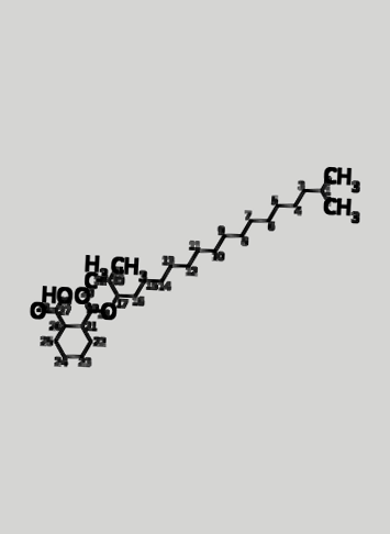 CC(C)CCCCCCCCCCCCCCC(OC(=O)C1CCCCC1C(=O)O)C(C)C